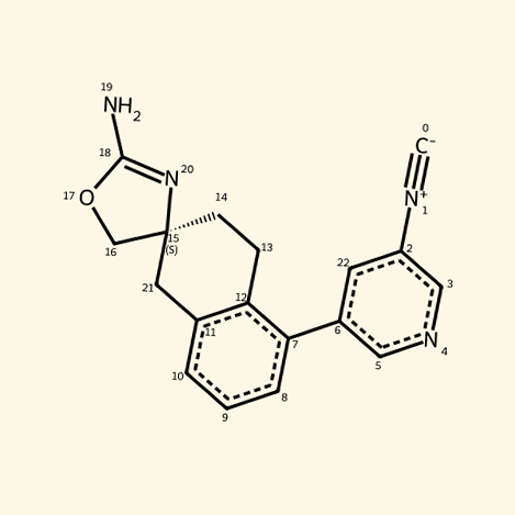 [C-]#[N+]c1cncc(-c2cccc3c2CC[C@@]2(COC(N)=N2)C3)c1